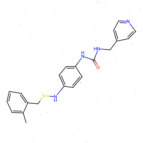 Cc1ccccc1CSNc1ccc(NC(=O)NCc2ccncc2)cc1